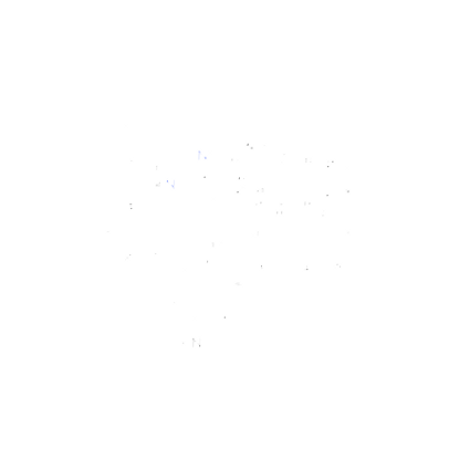 N#Cc1ccc(-c2cc(-c3nc4ccccc4n3-c3ccccc3)cc3c2Sc2ccccc2C32c3ccccc3-c3ccccc32)cc1